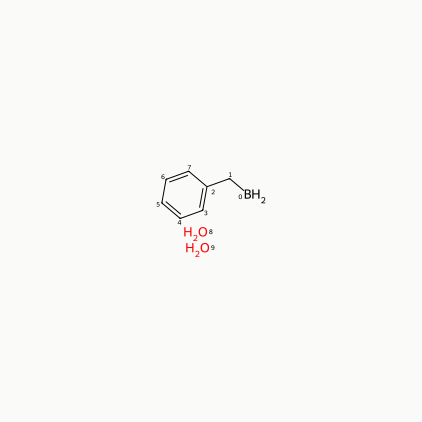 BCc1ccccc1.O.O